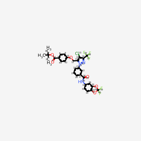 CC(C)(C)OC(=O)c1ccc(OCc2c(Cl)c(C(F)(F)F)nn2-c2cccc(C(=O)Nc3ccc4c(c3)OC(F)(F)O4)c2)cc1